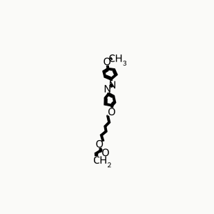 C=CC(=O)OCCCCCCOc1ccc(/N=N/c2ccc(OC)cc2)cc1